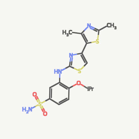 Cc1nc(C)c(-c2csc(Nc3cc(S(N)(=O)=O)ccc3OC(C)C)n2)s1